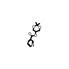 CC1(C)OCC(OC(=O)c2cccnc2)CO1